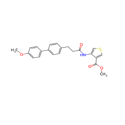 COC(=O)c1cscc1NC(=O)CCc1ccc(-c2ccc(OC)cc2)cc1